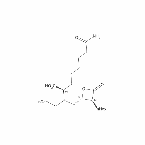 CCCCCCCCCCCC(C[C@@H]1OC(=O)[C@H]1CCCCCC)[C@H](CCCCCC(N)=O)C(=O)O